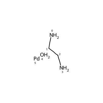 NCCN.O.[Pd]